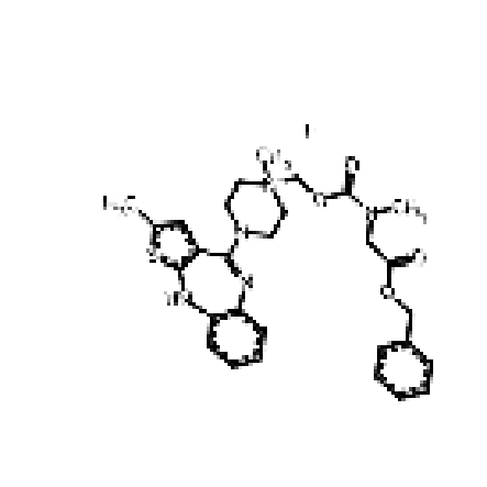 Cc1cc2c(s1)Nc1ccccc1N=C2N1CC[N+](C)(COC(=O)N(C)CC(=O)OCc2ccccc2)CC1.[I-]